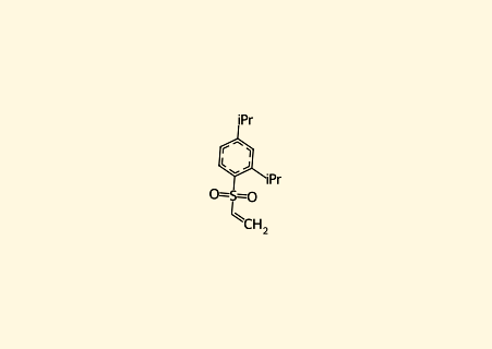 C=CS(=O)(=O)c1ccc(C(C)C)cc1C(C)C